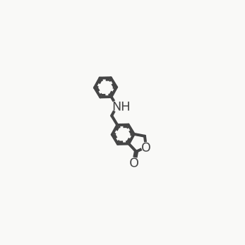 O=C1OCc2cc(CNc3ccccc3)ccc21